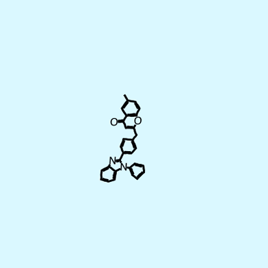 Cc1ccc2oc(Cc3ccc(-c4nc5ccccc5n4-c4ccccc4)cc3)cc(=O)c2c1